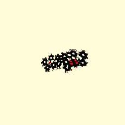 Cc1ccccc1N(c1ccc2c(c1)C1(c3cc(N(c4ccccc4C)c4cccc5c4oc4c(-c6ccccc6)cccc45)ccc3-2)c2ccccc2-c2c1cc1c3c(cccc23)-c2ccccc2-1)c1cccc2c1oc1c(-c3ccccc3)cccc12